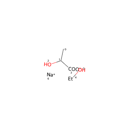 CC(O)C(=O)[O-].CCO.[Na+]